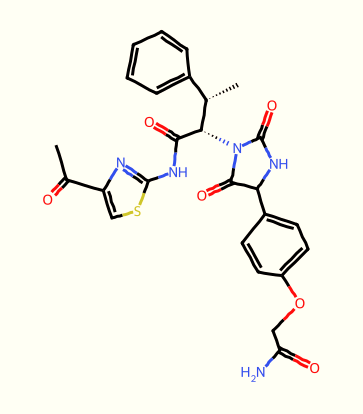 CC(=O)c1csc(NC(=O)[C@H]([C@@H](C)c2ccccc2)N2C(=O)NC(c3ccc(OCC(N)=O)cc3)C2=O)n1